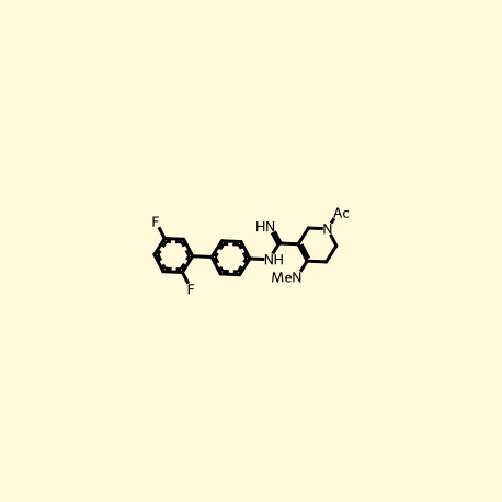 CNC1=C(C(=N)Nc2ccc(-c3cc(F)ccc3F)cc2)CN(C(C)=O)CC1